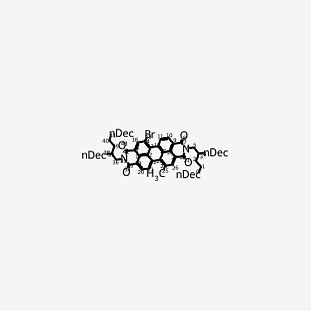 CCCCCCCCCCCCC(CCCCCCCCCC)CN1C(=O)c2ccc3c4c(Br)cc5c6c(ccc(c7c(C)cc(c2c37)C1=O)c64)C(=O)N(CC(CCCCCCCCCC)CCCCCCCCCCCC)C5=O